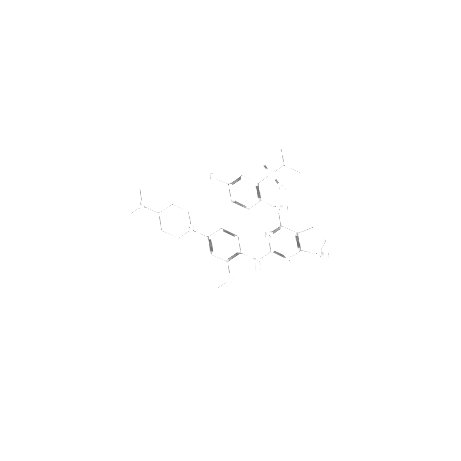 COc1cc(N2CCC(N(C)C)CC2)ccc1Nc1nc2c(c(Nc3ccc(F)cc3S(=O)(=O)C(C)C)n1)CCN2